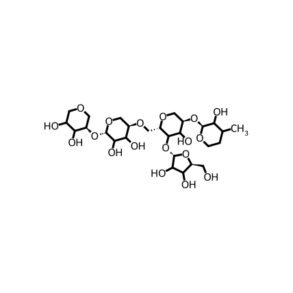 CC1CCO[C@@H](O[C@@H]2CO[C@@H](CO[C@@H]3CO[C@@H](O[C@@H]4COCC(O)C4O)C(O)C3O)C(O[C@@H]3O[C@@H](CO)C(O)C3O)C2O)C1O